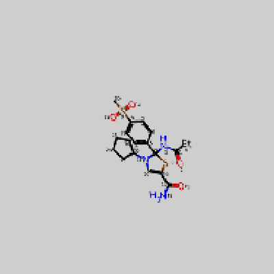 CCC(=O)NC1(c2ccc(S(C)(=O)=O)cc2)SC(C(N)=O)=CN1C1CCCC1